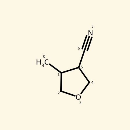 CC1COCC1C#N